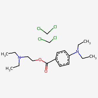 CCN(CC)CCOC(=O)c1ccc(N(CC)CC)cc1.ClCCl.ClCCl